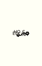 CCc1ccc(CCNC(C(=O)O)c2ccccc2)s1